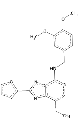 COc1ccc(CNc2ncc(CO)c3nc(-c4ccco4)nn23)cc1OC